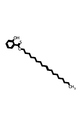 CCCCCCCCC=CCCCCCCCCOC(=S)c1ccccc1O